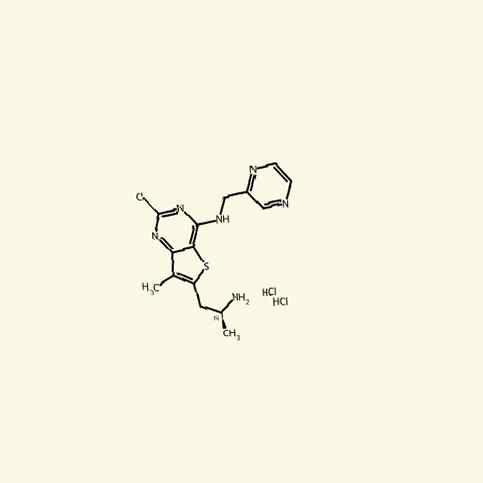 Cc1c(C[C@H](C)N)sc2c(NCc3cnccn3)nc(Cl)nc12.Cl.Cl